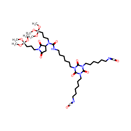 CO[Si](CCCN1C(=O)CC(N(CCC[Si](OC)(OC)OC)C(=O)NCCCCCCn2c(=O)n(CCCCCCN=C=O)c(=O)n(CCCCCCN=C=O)c2=O)C1=O)(OC)OC